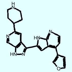 c1cc(-c2ccoc2)c2cc(-c3n[nH]c4cnc(C5CCNCC5)cc34)[nH]c2n1